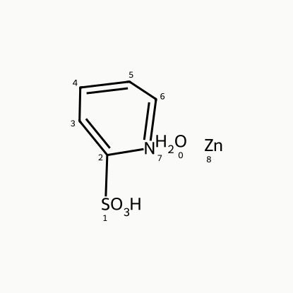 O.O=S(=O)(O)c1ccccn1.[Zn]